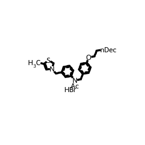 Br.CCCCCCCCCCCCOc1ccc(CN(C(C)=O)c2cccc(CN3C=C(C)SC3)c2)cc1